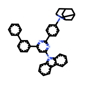 c1ccc(-c2cccc(-c3cc(-n4c5ccccc5c5ccccc54)nc(-c4ccc(N5C6CC7CC(C6)CC5C7)cc4)n3)c2)cc1